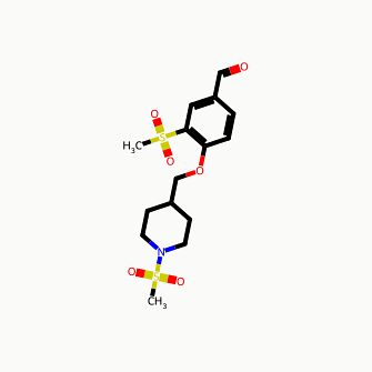 CS(=O)(=O)c1cc(C=O)ccc1OCC1CCN(S(C)(=O)=O)CC1